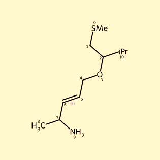 CSCC(OC/C=C/C(C)N)C(C)C